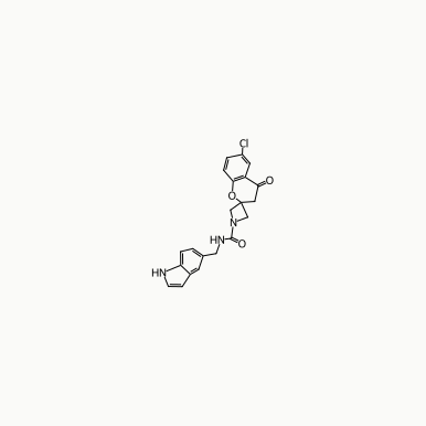 O=C1CC2(CN(C(=O)NCc3ccc4[nH]ccc4c3)C2)Oc2ccc(Cl)cc21